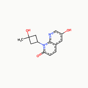 CC1(O)CC(n2c(=O)ccc3cc(O)cnc32)C1